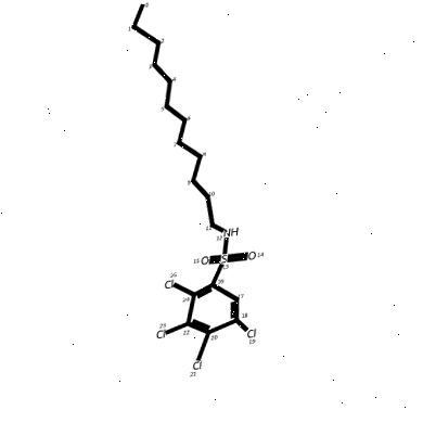 CCCCCCCCCCCCNS(=O)(=O)c1cc(Cl)c(Cl)c(Cl)c1Cl